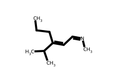 CCC/C(=C\C=N/C)C(C)C